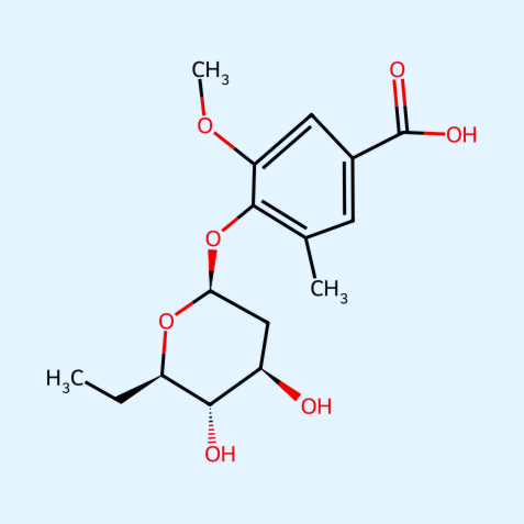 CC[C@H]1O[C@@H](Oc2c(C)cc(C(=O)O)cc2OC)C[C@@H](O)[C@@H]1O